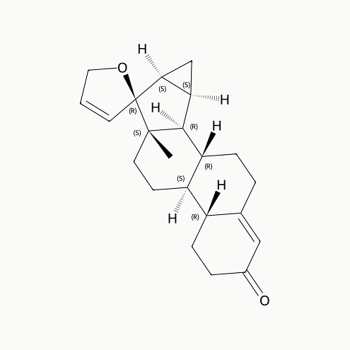 C[C@]12CC[C@H]3[C@@H](CCC4=CC(=O)CC[C@@H]43)[C@@H]1[C@@H]1C[C@@H]1[C@@]21C=CCO1